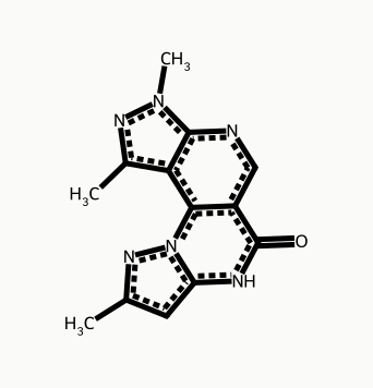 Cc1cc2[nH]c(=O)c3cnc4c(c(C)nn4C)c3n2n1